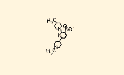 CC1CCN(c2nc(C3=CCN(C)CC3)ccc2[N+](=O)[O-])CC1